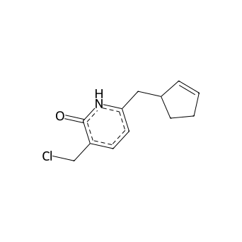 O=c1[nH]c(CC2C=CCC2)ccc1CCl